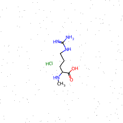 CNC(CCCNC(=N)N)C(=O)O.Cl